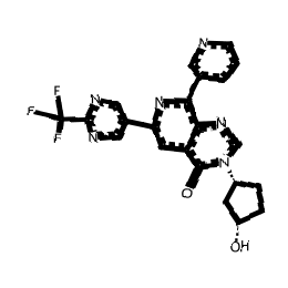 O=c1c2cc(-c3cnc(C(F)(F)F)nc3)nc(-c3cccnc3)c2ncn1[C@@H]1CC[C@H](O)C1